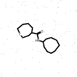 O=C(NC1CCCCCCCC1)C1CCCCCCC1